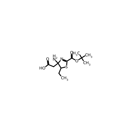 CCC1SC(C(=O)OC(C)(C)C)=NC1(N)CC(=O)O